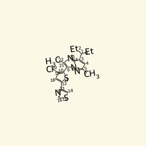 CCC(CC)c1cc(C)nn2c(-c3sc(-c4cscn4)cc3Cl)c(C)nc12